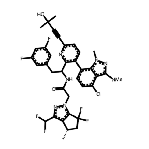 CNc1nn(C)c2c(-c3ccc(C#CC(C)(C)O)nc3C(Cc3cc(F)cc(F)c3)NC(=O)Cn3nc(C(F)F)c4c3C(F)(F)C[C@@H]4C)ccc(Cl)c12